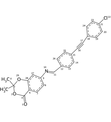 CC1(C)OC(=O)c2ccc(N=Cc3ccc(C#Cc4ccc(Cl)cc4)cc3)cc2O1